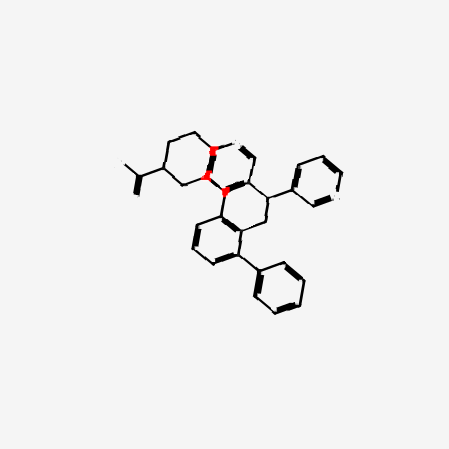 NC(=O)C1CCCN(C(=O)c2cccc(-c3ccccc3)c2CC(c2cccnc2)c2cccnc2)C1